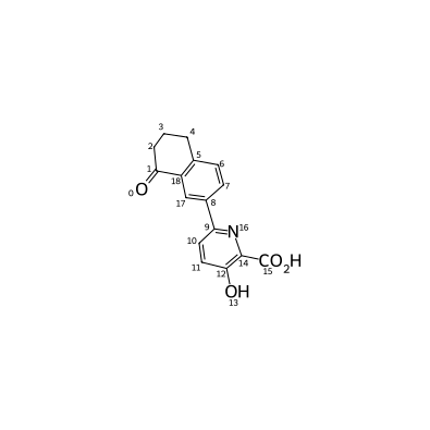 O=C1CCCc2ccc(-c3ccc(O)c(C(=O)O)n3)cc21